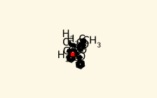 CCCCO[C@@H]1C2OC(C)(C)OC2O[C@@H]1CC(C)(COC(=O)c1ccccc1)OC(=O)c1ccccc1